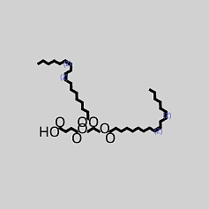 CCCCC/C=C\C/C=C\CCCCCCCC(=O)OCC(COC(=O)CCC(=O)O)OC(=O)CCCCCCC/C=C\C/C=C\CCCCC